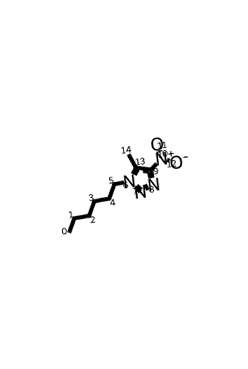 CCCCCCn1nnc([N+](=O)[O-])c1C